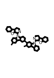 Cc1ccc2c(c1)c1cc(-c3cc4c(cc3C)c3ccccc3n4-c3nccc4c3oc3ccccc34)ccc1n2-c1nccc2c1oc1ccccc12